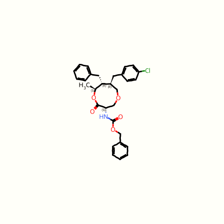 C[C@@H]1OC(=O)[C@@H](NC(=O)OCc2ccccc2)COC[C@H](Cc2ccc(Cl)cc2)[C@H]1Cc1ccccc1